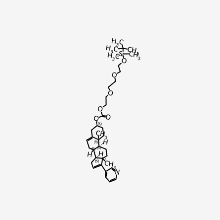 CC(C)(C)[Si](C)(C)OCCOCCOCCOC(=O)O[C@H]1CC[C@@]2(C)C(=CC[C@@H]3[C@@H]2CC[C@]2(C)C(c4cccnc4)=CC[C@@H]32)C1